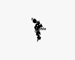 CO[C@H](C1CC1)C12Cc3cnn(-c4ccc(F)cc4)c3C=C1CCN(S(=O)(=O)c1ccc(N3CC[C@H](F)C3)nc1)C2